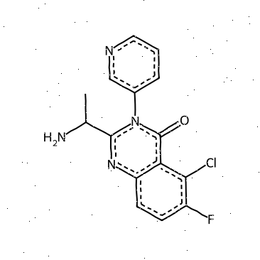 CC(N)c1nc2ccc(F)c(Cl)c2c(=O)n1-c1cccnc1